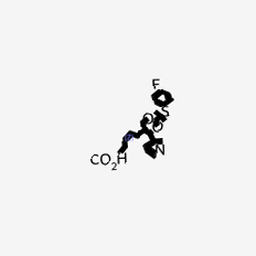 CC(C)(Sc1ccc(F)cc1)C1OCC(C/C=C\CCC(=O)O)C(c2cccnc2)O1